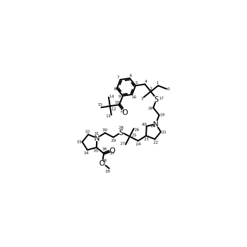 CCC(C)(Cc1cccc(C(=O)C(C)(C)C)c1)SCCN1CCC(CC(C)(C)SCCN2CCCC2C(=O)OC)C1